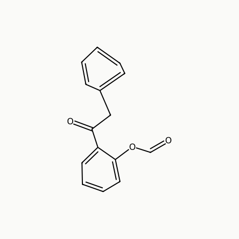 O=COc1ccccc1C(=O)Cc1ccccc1